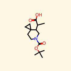 CC(C(=O)O)C1CN(C(=O)OC(C)(C)C)CCC12CC2